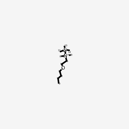 CCCCOCC[N+](C)(C)[Si](C)(C)C